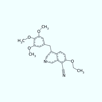 CCOc1ccc2c(Cc3cc(OC)c(OC)c(OC)c3)cncc2c1C#N